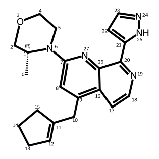 C[C@@H]1COCCN1c1cc(CC2=CCCC2)c2ccnc(-c3ccn[nH]3)c2n1